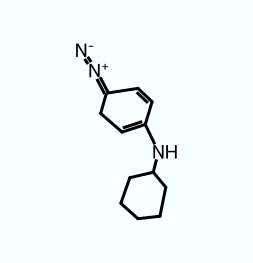 [N-]=[N+]=C1C=CC(NC2CCCCC2)=CC1